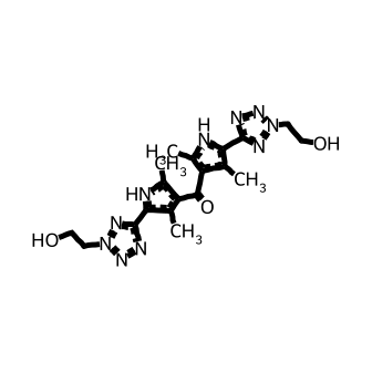 Cc1[nH]c(-c2nnn(CCO)n2)c(C)c1C(=O)c1c(C)[nH]c(-c2nnn(CCO)n2)c1C